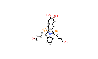 OCCCCCC(P)(CCCCCO)N(c1ccccc1)C(P)(CCCCCO)CCCCCO